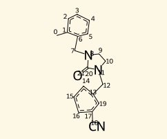 Cc1ccccc1CN1CCN(Cc2cccc(C#N)c2)C1=O